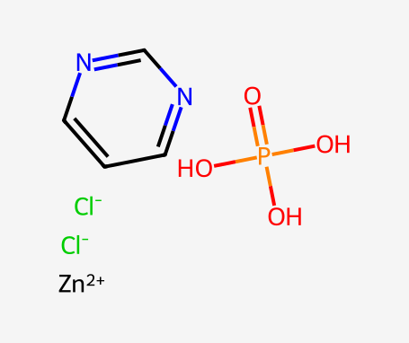 O=P(O)(O)O.[Cl-].[Cl-].[Zn+2].c1cncnc1